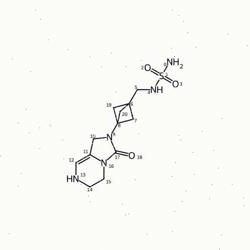 NS(=O)(=O)NCC12CC(N3CC4=CNCCN4C3=O)(C1)C2